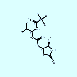 CC(C)C(OC(=O)OC1CC(=O)NC1=O)OC(=O)C(C)(C)C